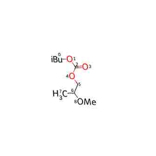 CCC(C)OC(=O)OCC(C)OC